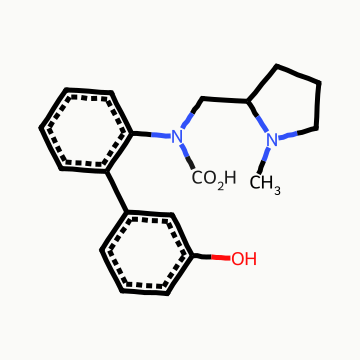 CN1CCCC1CN(C(=O)O)c1ccccc1-c1cccc(O)c1